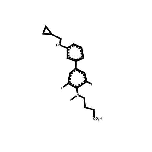 CN(CCCC(=O)O)c1c(F)cc(-c2cccc(NCC3CC3)c2)cc1F